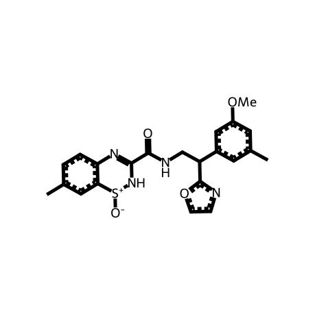 COc1cc(C)cc(C(CNC(=O)C2=Nc3ccc(C)cc3[S+]([O-])N2)c2ncco2)c1